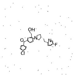 O=C(c1ccc(Cl)cc1)c1ccc(N2CC[C@H](CCc3ccc(F)cn3)C2)c(CCO)c1